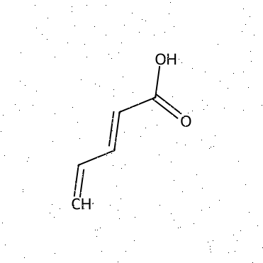 [CH]=CC=CC(=O)O